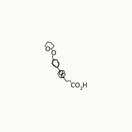 O=C(O)CCC12CCC(c3ccc(COC4CCCCO4)cc3)(CC1)OC2